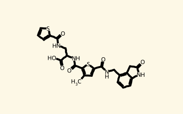 Cc1cc(C(=O)NCc2cccc3c2CC(=O)N3)sc1C(=O)NC(CNC(=O)c1cccs1)C(=O)O